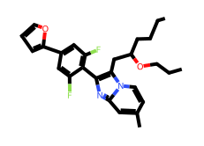 CCCCC(Cc1c(-c2c(F)cc(-c3ccco3)cc2F)nc2cc(C)ccn12)OCCC